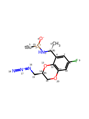 C[C@@H](N[S@+]([O-])C(C)(C)C)c1cc(F)cc2c1O[C@H](CN=[N+]=[N-])CO2